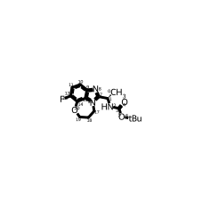 C[C@H](NC(=O)OC(C)(C)C)c1nc2ccc(F)c3c2n1CCCO3